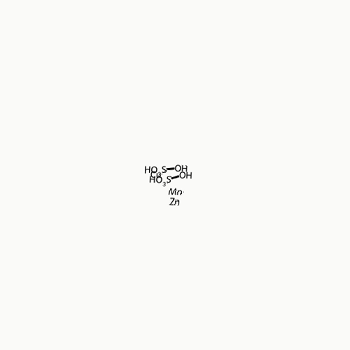 O=S(=O)(O)O.O=S(=O)(O)O.[Cu].[Mn].[Zn]